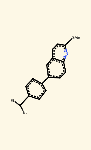 CCC(CC)c1ccc(-c2ccc3nc(SC)ccc3c2)cc1